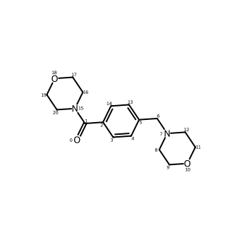 O=C(c1ccc(CN2CCOCC2)cc1)N1CCOCC1